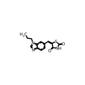 CCCn1cnc2ccc(C=C3SC(=O)NC3=O)cc21